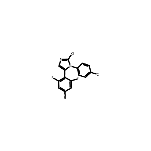 Cc1cc(F)c(-c2cnc(Cl)n2-c2ccc(Cl)cc2)c(F)c1